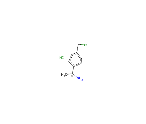 C[C@@H](N)c1ccc(CCl)cc1.Cl